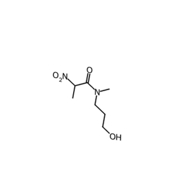 CC(C(=O)N(C)CCCO)[N+](=O)[O-]